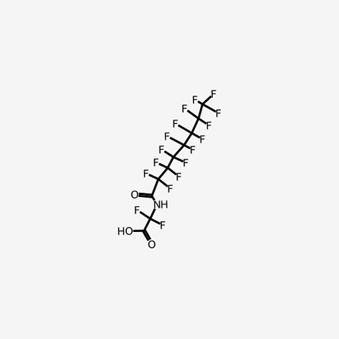 O=C(O)C(F)(F)NC(=O)C(F)(F)C(F)(F)C(F)(F)C(F)(F)C(F)(F)C(F)(F)C(F)(F)F